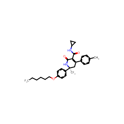 Cc1ccc(C2=C(C(=O)NC3CC3)C(=O)N[C@@](c3ccc(OCCCCCC(F)(F)F)cc3)(C(F)(F)F)C2)cc1